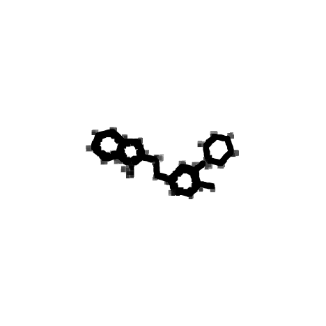 Cc1cnc(CSc2cc3ccccc3[nH]2)cc1N1CCCCC1